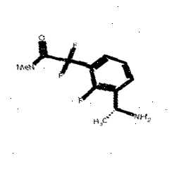 CNC(=O)C(F)(F)c1cccc([C@@H](C)N)c1F